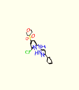 O=S(=O)(c1cc(Cl)nc(Nc2cc(-c3ccccc3)n[nH]2)c1)C1CCOCC1